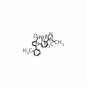 Cc1ccccc1-c1ccc(C(N)=O)n1-c1cccc(-c2nncn2C(C)C)n1